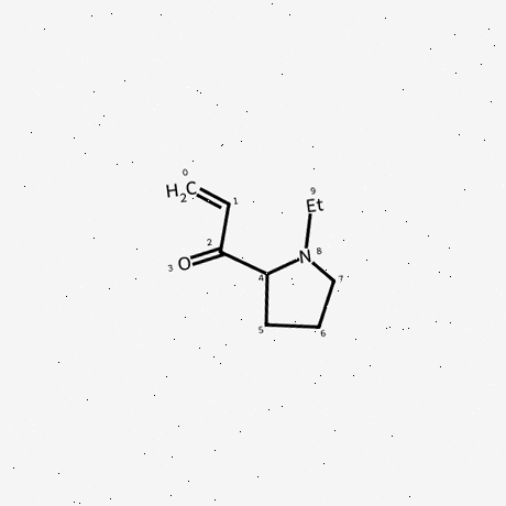 C=CC(=O)C1CCCN1CC